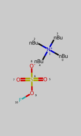 CCCC[N+](CCCC)(CCCC)CCCC.O=S(=O)([O-])OF